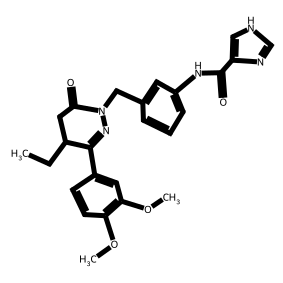 CCC1CC(=O)N(Cc2cccc(NC(=O)c3c[nH]cn3)c2)N=C1c1ccc(OC)c(OC)c1